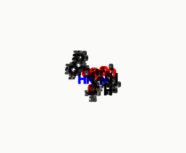 COC(=O)[C@@H]1[C@@H]2[C@H](CN1C(=O)C(NC(=O)OCC1c3ccccc3-c3ccccc31)[C@@H](C)OC(C)(C)C)C2(C)C